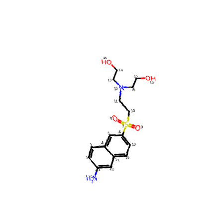 Nc1ccc2cc(S(=O)(=O)CCN(CCO)CCO)ccc2c1